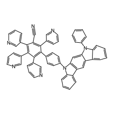 N#Cc1c(-c2cccnc2)c(-c2ccc(-n3c4ccccc4c4cc5c6ccccc6n(-c6ccccc6)c5cc43)cc2)c(-c2cccnc2)c(-c2cccnc2)c1-c1cccnc1